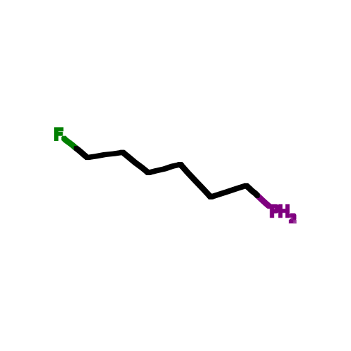 FCCCCCCP